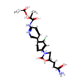 CC(=O)OC(C)C(=O)Nc1ccc(-c2ccc(N3CC(CCC(N)=O)OC3=O)cc2F)cn1